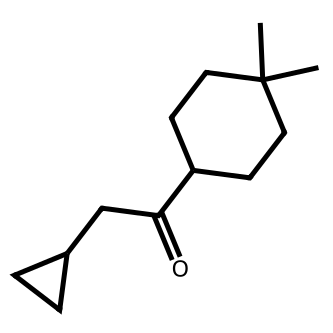 CC1(C)CCC(C(=O)CC2CC2)CC1